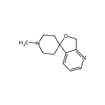 CN1CCC2(CC1)OCc1ncccc12